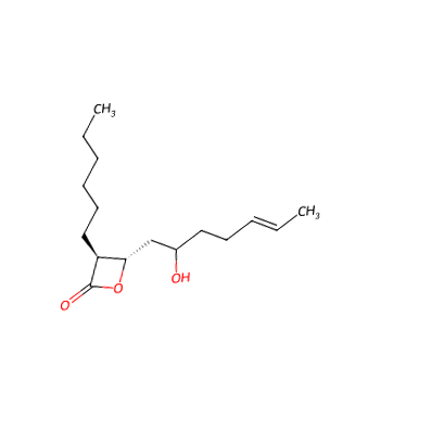 CC=CCCC(O)C[C@@H]1OC(=O)[C@H]1CCCCCC